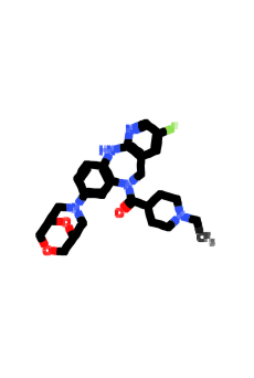 O=C(C1CCN(CC(F)(F)F)CC1)N1Cc2cc(F)cnc2Nc2ccc(N3CC4COCC(C3)O4)cc21